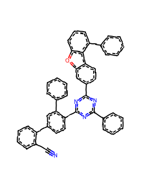 N#Cc1ccccc1-c1ccc(-c2nc(-c3ccccc3)nc(-c3ccc4c(c3)oc3cccc(-c5ccccc5)c34)n2)c(-c2ccccc2)c1